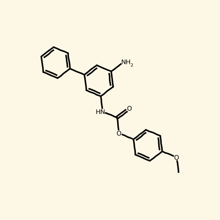 COc1ccc(OC(=O)Nc2cc(N)cc(-c3ccccc3)c2)cc1